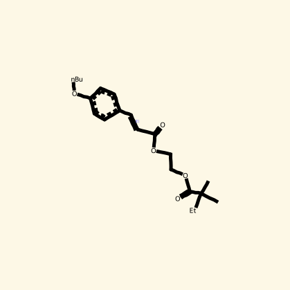 CCCCOc1ccc(/C=C/C(=O)OCCOC(=O)C(C)(C)CC)cc1